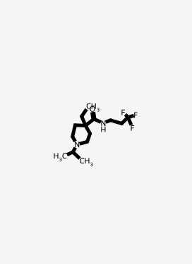 CCC1(C(=O)NCCC(F)(F)F)CCN(C(C)C)CC1